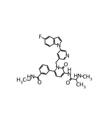 CCNC(=O)c1cccc(-c2ccc(NC(=O)C(C)NC)c(=O)n2Cc2cncc(-n3ccc4cc(F)ccc43)c2)c1